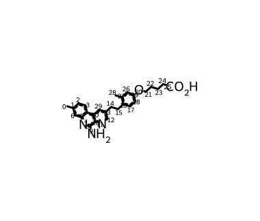 Cc1ccc2c(c1)nc(N)c1ncc(CCc3ccc(OCCCCC(=O)O)cc3C)cc12